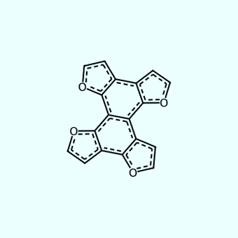 c1cc2c(o1)c1ccoc1c1c3occc3c3ccoc3c21